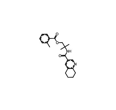 Cc1ccccc1C(=O)OCC(C)(C)NC(=O)c1cnc2c(c1)CCCC2